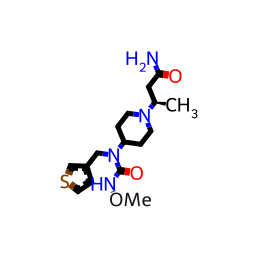 CONC(=O)N(Cc1ccsc1)C1CCN([C@H](C)CC(N)=O)CC1